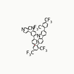 N#Cc1cc(-n2c3cc(-c4ccc(C(F)(F)F)cc4C(F)(F)F)ccc3c3ccc(-c4ccc(C(F)(F)F)cc4C(F)(F)F)cc32)c(-c2ccccc2)cc1-c1ccncc1